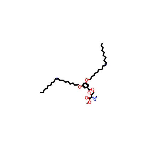 CCCCCCCC/C=C\CCCCCCCCOc1cc(OCCCCCCCC/C=C\CCCCCCCC)cc(C2OCC(C(C(=O)OC)N(C)C)O2)c1